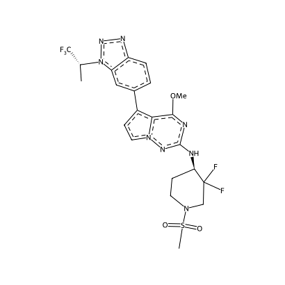 COc1nc(N[C@@H]2CCN(S(C)(=O)=O)CC2(F)F)nn2ccc(-c3ccc4nnn([C@H](C)C(F)(F)F)c4c3)c12